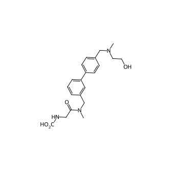 CN(CCO)Cc1ccc(-c2cccc(CN(C)C(=O)CNC(=O)O)c2)cc1